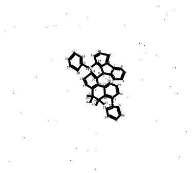 CC12c3ccccc3-c3cccc(c31)N(c1ccccc1)c1ccc3c(c12)-c1cccc(-c2ccccc2)c1C(C)(C)C3(C)C